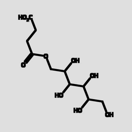 O=C(O)CCC(=O)OCC(O)C(O)C(O)C(O)CO